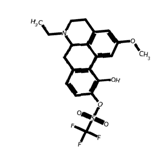 CCN1CCc2cc(OC)cc3c2C1Cc1ccc(OS(=O)(=O)C(F)(F)F)c(O)c1-3